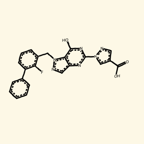 O=C(O)c1cnn(-c2nc(O)c3c(cnn3Cc3cccc(-c4ccccc4)c3F)n2)c1